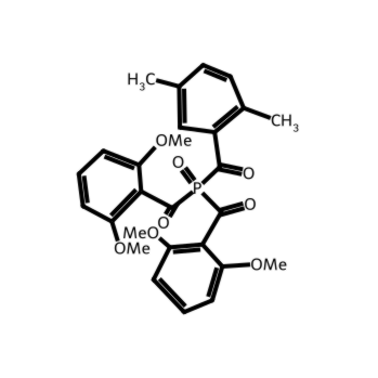 COc1cccc(OC)c1C(=O)P(=O)(C(=O)c1cc(C)ccc1C)C(=O)c1c(OC)cccc1OC